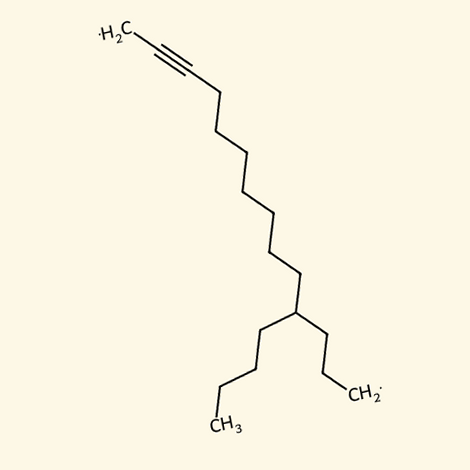 [CH2]C#CCCCCCCCC(CC[CH2])CCCC